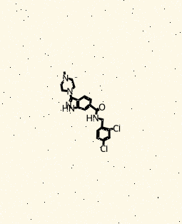 CN1CCN(c2n[nH]c3cc(C(=O)NCc4ccc(Cl)cc4Cl)ccc23)CC1